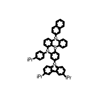 CC(C)c1ccc(N2c3cc(-n4c5ccc(C(C)C)cc5c5cc(C(C)C)ccc54)ccc3B3c4ccccc4N(c4ccc5ccccc5c4)c4cccc2c43)cc1